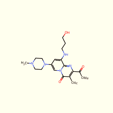 COC(=O)c1nc2c(NCCCO)cc(N3CCN(C)CC3)cn2c(=O)c1OC(C)=O